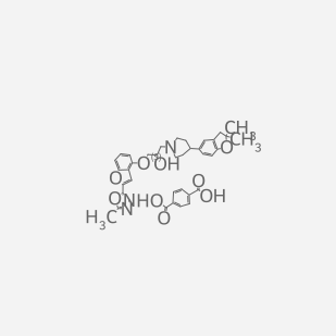 Cc1nnc(-c2cc3c(OC[C@@H](O)CN4CCC(c5ccc6c(c5)CC(C)(C)O6)CC4)cccc3o2)o1.O=C(O)c1ccc(C(=O)O)cc1